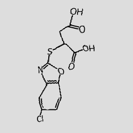 O=C(O)CC(Sc1nc2cc(Cl)ccc2o1)C(=O)O